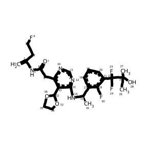 C=C(CCF)NC(=O)Cc1ncnc(N[C@H](C)c2cccc(C(F)(F)C(C)(C)O)c2F)c1C1OCCO1